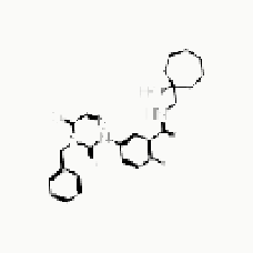 O=C(NCC1(O)CCCCCC1)c1cc(-n2ncc(=O)n(Cc3ccccc3)c2=O)ccc1Cl